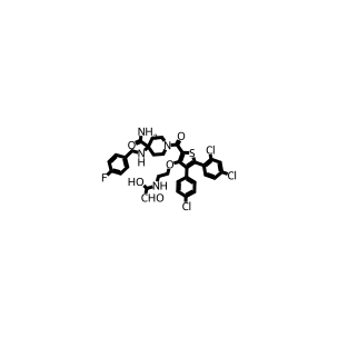 NC(=O)C1(NCc2ccc(F)cc2)CCN(C(=O)c2sc(-c3ccc(Cl)cc3Cl)c(-c3ccc(Cl)cc3)c2OCCNC(O)C=O)CC1